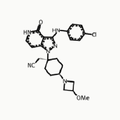 COC1CN([C@H]2CC[C@@](CC#N)(n3nc(Nc4ccc(Cl)cc4)c4c(=O)[nH]ccc43)CC2)C1